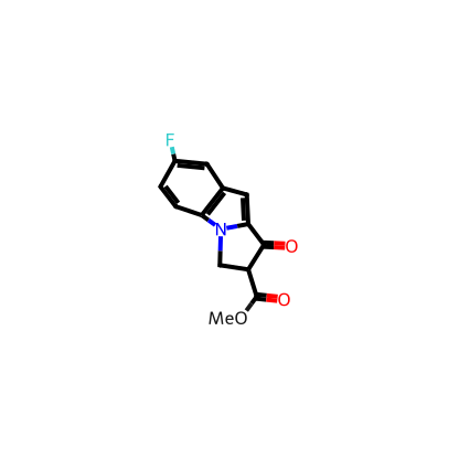 COC(=O)C1Cn2c(cc3cc(F)ccc32)C1=O